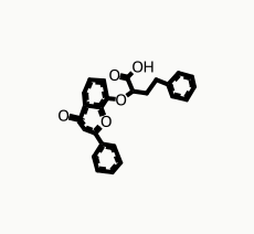 O=C(O)C(CCc1ccccc1)Oc1cccc2c(=O)cc(-c3ccccc3)oc12